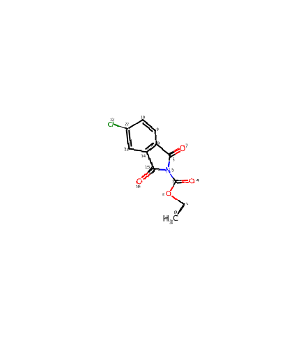 CCOC(=O)N1C(=O)c2ccc(Cl)cc2C1=O